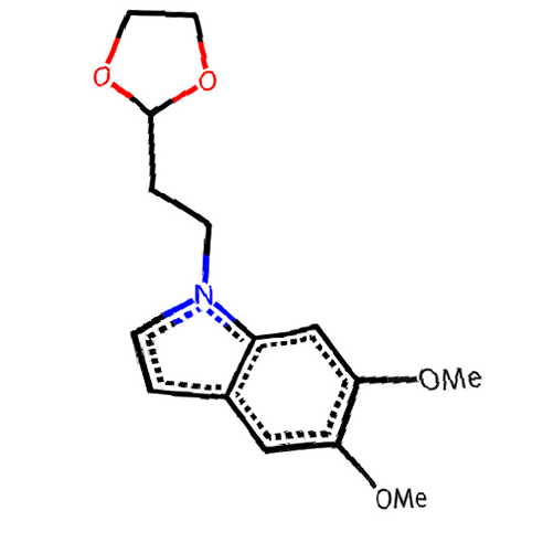 COc1cc2ccn(CCC3OCCO3)c2cc1OC